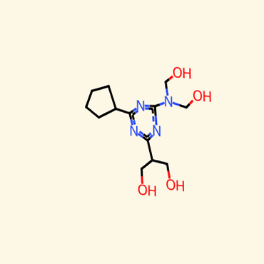 OCC(CO)c1nc(C2CCCC2)nc(N(CO)CO)n1